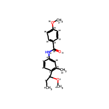 CCC(OC)c1ccc(NC(=O)c2ccc(OC)cc2)cc1C